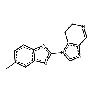 Cc1ccc2nc(-n3cnc4c3CCN=C4)oc2c1